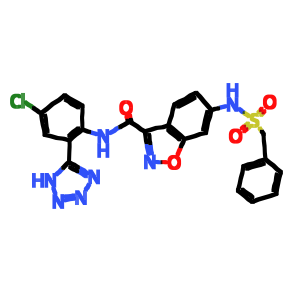 O=C(Nc1ccc(Cl)cc1-c1nnn[nH]1)c1noc2cc(NS(=O)(=O)Cc3ccccc3)ccc12